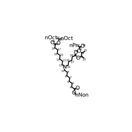 CCCCCCCCCOC(=O)CCCCCCCN(CCCCCCCC(=O)OC(CCCCCCCC)CCCCCCCC)CCCCC(=O)OC(C)C(C)OC(=O)CCC